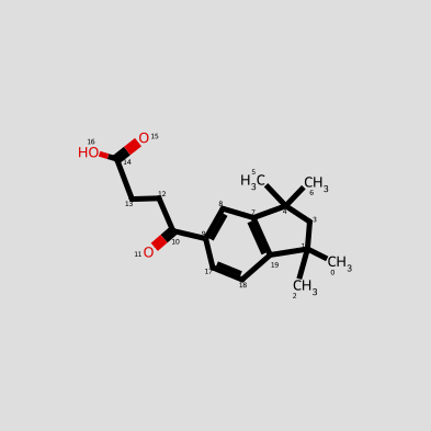 CC1(C)CC(C)(C)c2cc(C(=O)CCC(=O)O)ccc21